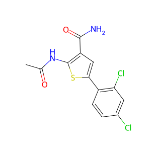 CC(=O)Nc1sc(-c2ccc(Cl)cc2Cl)cc1C(N)=O